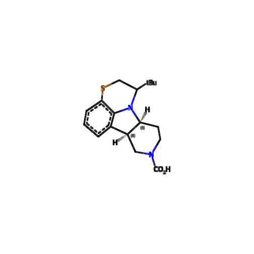 CC(C)(C)C1CSc2cccc3c2N1[C@H]1CCN(C(=O)O)C[C@@H]31